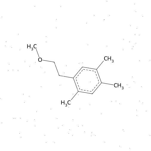 COCCc1cc(C)c(C)cc1C